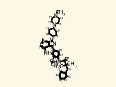 COc1cc(-c2nn([C@H]3CC[C@@H](N4CCN(C)CC4)CC3)c3ncnc(N)c23)ccc1NC(=O)C(C)(C)Cc1ccccc1